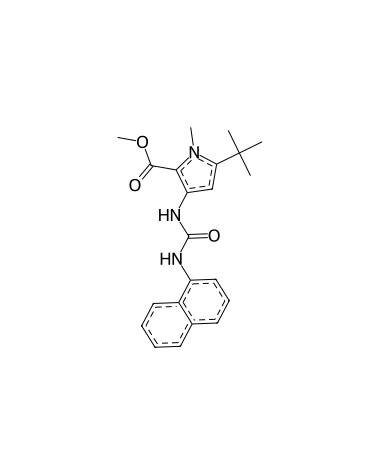 COC(=O)c1c(NC(=O)Nc2cccc3ccccc23)cc(C(C)(C)C)n1C